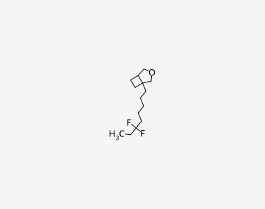 CCC(F)(F)CCCCCC12CCC1COC2